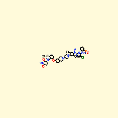 CCc1cc(Nc2ncc(Cl)c(Nc3ccccc3P(C)(C)=O)n2)c(OC)cc1N1CCC(N2CCc3ccc(Oc4cccc(C=O)c4CN(C)C4CCC(=O)NC4=O)cc3CC2)CC1